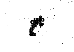 COC1CCCC(CN2CCC(N3C[C@H](C)N(c4ncc(Nc5c(NCC(F)(F)F)c(=O)c5=O)cc4Cl)C[C@H]3C)CC2)O1